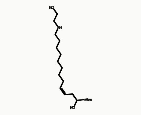 CCCCCCC(O)C/C=C\CCCCCCCCNCCO